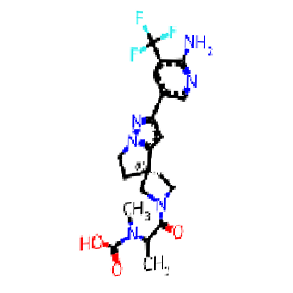 CC(C(=O)N1CC[C@@]2(CCn3nc(-c4cnc(N)c(C(F)(F)F)c4)cc32)C1)N(C)C(=O)O